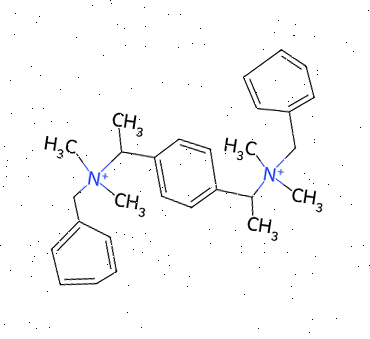 CC(c1ccc(C(C)[N+](C)(C)Cc2ccccc2)cc1)[N+](C)(C)Cc1ccccc1